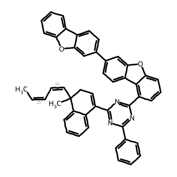 C/C=C\C=C/C1(C)CC=C(c2nc(-c3ccccc3)nc(-c3cccc4oc5cc(-c6ccc7c(c6)oc6ccccc67)ccc5c34)n2)c2ccccc21